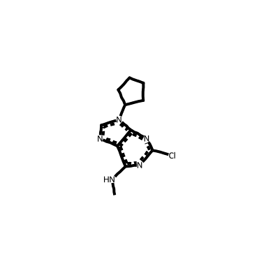 CNc1nc(Cl)nc2c1ncn2C1CCCC1